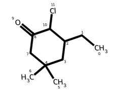 CCC1CC(C)(C)CC(=O)C1Cl